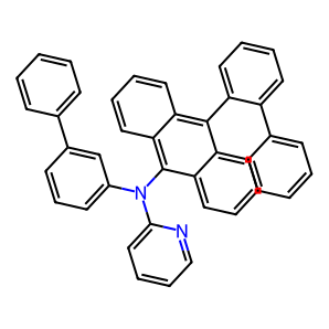 c1ccc(-c2cccc(N(c3ccccn3)c3c4ccccc4c(-c4ccccc4-c4ccccc4)c4ccccc34)c2)cc1